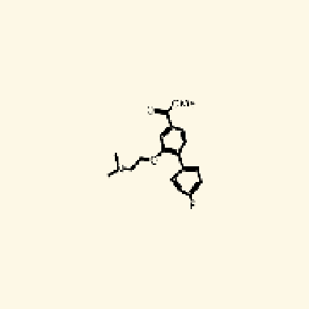 COC(=O)c1ccc(-c2ccc(F)cc2)c(OCCN(C)C)c1